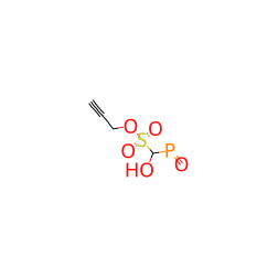 C#CCOS(=O)(=O)C(O)P=O